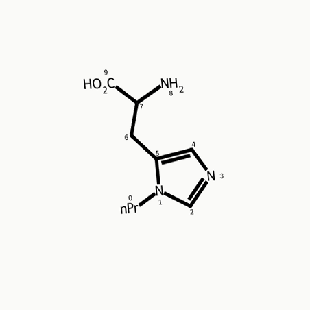 CCCn1cncc1CC(N)C(=O)O